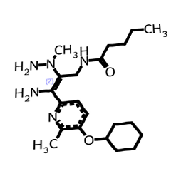 CCCCC(=O)NC/C(=C(/N)c1ccc(OC2CCCCC2)c(C)n1)N(C)N